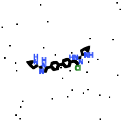 Clc1nc([C@@H]2CC3CC3N2)[nH]c1-c1ccc(-c2ccc(-c3cnc([C@@H]4CC5CC5N4)[nH]3)cc2)cc1